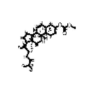 COC(=O)OC1CC[C@]2(C)C(C=C[C@@H]3C4CCC(C(C)CCCC(C)C)[C@]4(C)CC[C@H]32)C1